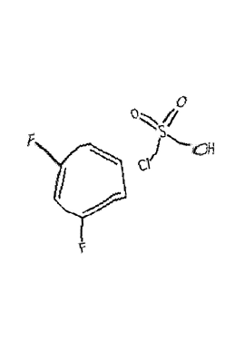 Fc1cccc(F)c1.O=S(=O)(O)Cl